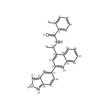 Cc1ccccc1C(=O)NC(C)c1cc(-c2ccc3nonc3c2)nc2ccccc12